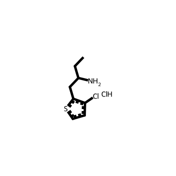 CCC(N)Cc1sccc1Cl.Cl